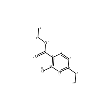 CCOC(=O)c1ccc(CC)nc1Cl